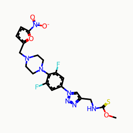 COC(=S)NCc1cn(-c2cc(F)c(N3CCN(Cc4ccc([N+](=O)[O-])o4)CC3)c(F)c2)nn1